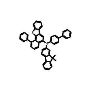 CC1(C)c2ccccc2-c2ccc(N(c3ccc(-c4ccccc4)cc3)c3cc4c5ccccc5sc4c4c(-c5ccccc5)cccc34)cc21